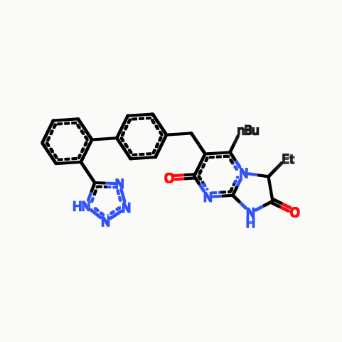 CCCCc1c(Cc2ccc(-c3ccccc3-c3nnn[nH]3)cc2)c(=O)nc2n1C(CC)C(=O)N2